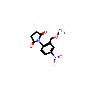 COCc1cc([N+](=O)[O-])ccc1N1C(=O)CCC1=O